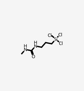 CNC(=O)NCCC[Si](Cl)(Cl)Cl